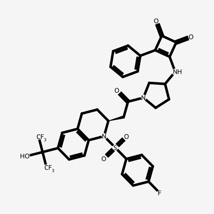 O=C(C[C@@H]1CCc2cc(C(O)(C(F)(F)F)C(F)(F)F)ccc2N1S(=O)(=O)c1ccc(F)cc1)N1CCC(Nc2c(-c3ccccc3)c(=O)c2=O)C1